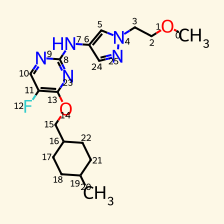 COCCn1cc(Nc2ncc(F)c(OCC3CCC(C)CC3)n2)cn1